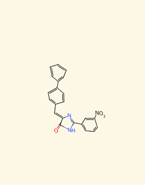 O=C1NC(c2cccc([N+](=O)[O-])c2)=N/C1=C\c1ccc(-c2ccccc2)cc1